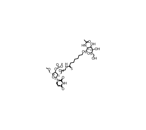 COC[C@H]1O[C@@H](n2ccc(=O)[nH]c2=O)[C@@H](CCCNC(=S)CCCCCCO[C@@H]2O[C@H](CO)[C@H](O)[C@H](O)[C@H]2NC(C)=O)C1OP(=O)(O)OC